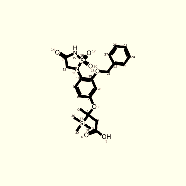 [CH2]C(CC(=O)O)(Oc1ccc(N2CC(=O)NS2(=O)=O)c(OCc2ccccc2)c1)[Si](C)(C)C